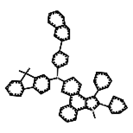 Cn1c(-c2ccccc2)c(-c2ccccc2)c2c3ccc(N(c4ccc(-c5ccc6ccccc6c5)cc4)c4ccc5c(c4)C(C)(C)c4ccccc4-5)cc3c3ccccc3c21